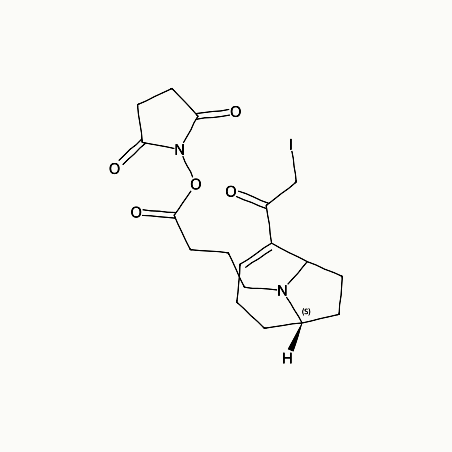 O=C(CCCN1C2CC[C@@H]1CCC=C2C(=O)CI)ON1C(=O)CCC1=O